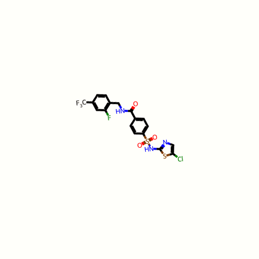 O=C(NCc1ccc(C(F)(F)F)cc1F)c1ccc(S(=O)(=O)Nc2ncc(Cl)s2)cc1